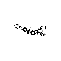 O=C(O)CC1Cc2cc(NC(=O)c3ccc(C=NN4CCSCC4)cc3)ccc2OC1CCO